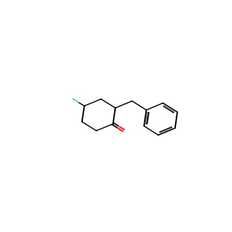 O=C1CCC(F)CC1Cc1ccccc1